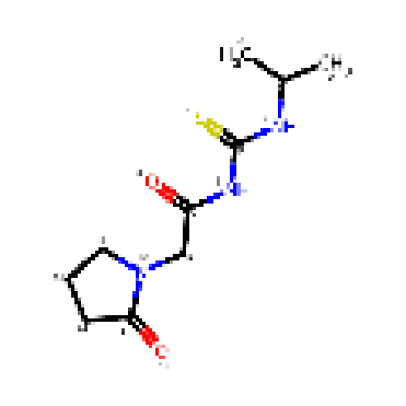 CC(C)NC(=S)NC(=O)CN1CCCC1=O